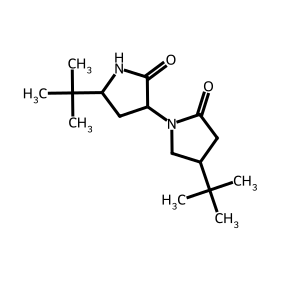 CC(C)(C)C1CC(=O)N(C2CC(C(C)(C)C)NC2=O)C1